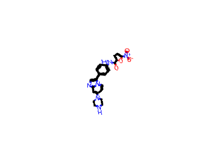 O=C(Nc1ccc(-c2cnc3cc(N4CCNCC4)ccn23)cc1)c1ccc([N+](=O)[O-])o1